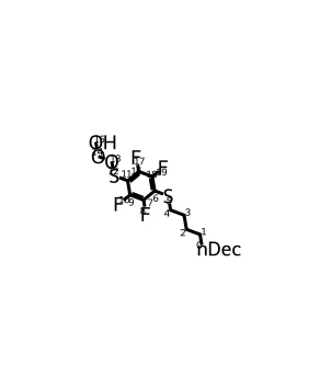 CCCCCCCCCCCCCCSc1c(F)c(F)c(SOOO)c(F)c1F